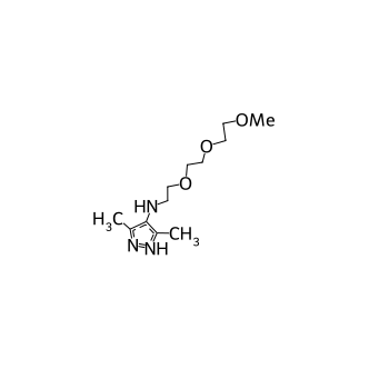 COCCOCCOCCNc1c(C)n[nH]c1C